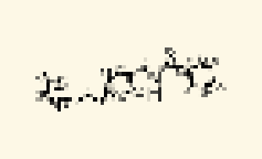 Cc1cnc(CCCN2CCC(CNC3CC3c3ccccc3)CC2)s1